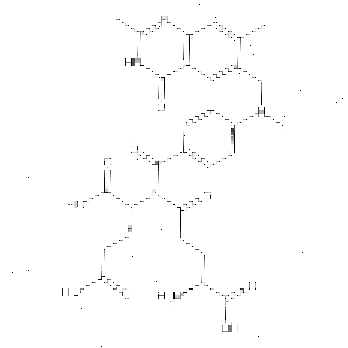 Cc1nc2cc(C)c(CN(C)c3ccc(C(=O)N(C(=O)CC[C@H](N)C(=O)O)[C@H](CCC(=O)O)C(=O)O)cc3)cc2c(=O)[nH]1